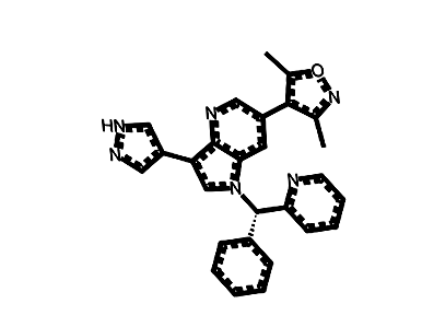 Cc1noc(C)c1-c1cnc2c(-c3cn[nH]c3)cn([C@@H](c3ccccc3)c3ccccn3)c2c1